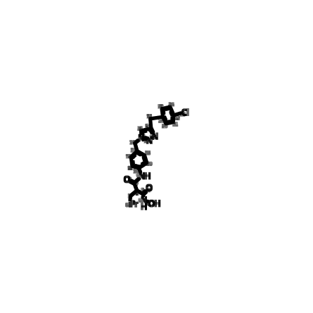 CC(C)CC(C(=O)NO)C(=O)Nc1ccc(Cn2cc(Cc3ccc(Cl)cc3)nn2)cc1